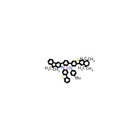 CC(C)(C)c1ccc(Nc2cc3c(cc2-c2ccc4c5cc6c(cc5n5c4c2Bc2cc4c(cc2-5)sc2ccccc24)C(C)(C)c2ccccc2-6)sc2cc4c(cc23)C(C)(C)CCC4(C)C)cc1